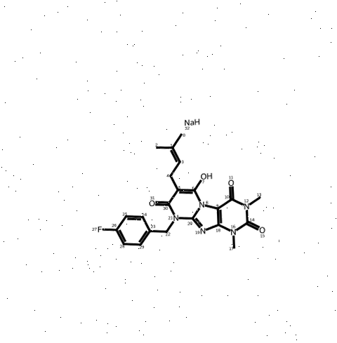 CC(C)=CCc1c(O)n2c3c(=O)n(C)c(=O)n(C)c3nc2n(Cc2ccc(F)cc2)c1=O.[NaH]